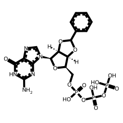 Nc1nc2c(ncn2[C@@H]2O[C@H](COP(=O)(O)OP(=O)(O)OP(=O)(O)O)[C@@H]3OC(c4ccccc4)O[C@@H]32)c(=O)[nH]1